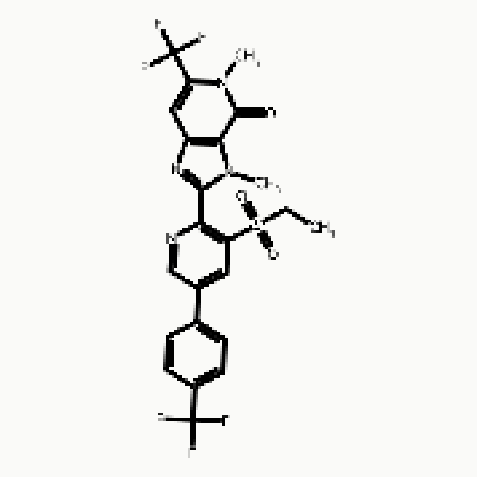 CCS(=O)(=O)c1cc(-c2ccc(C(F)(F)F)cc2)cnc1-c1nc2cc(C(F)(F)F)n(C)c(=O)c2n1C